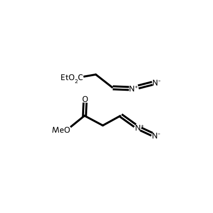 CCOC(=O)CC=[N+]=[N-].COC(=O)CC=[N+]=[N-]